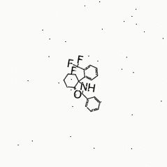 O=C1CCCCC1(NCc1ccccc1)c1ccccc1C(F)(F)F